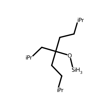 CC(C)CCC(CCC(C)C)(CC(C)C)O[SiH3]